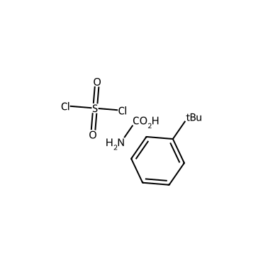 CC(C)(C)c1ccccc1.NC(=O)O.O=S(=O)(Cl)Cl